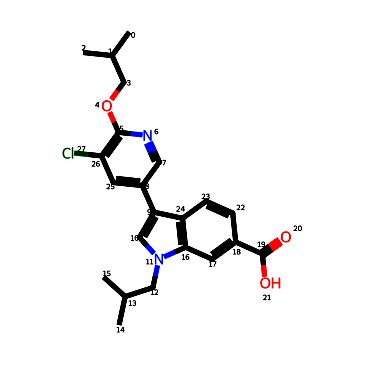 CC(C)COc1ncc(-c2cn(CC(C)C)c3cc(C(=O)O)ccc23)cc1Cl